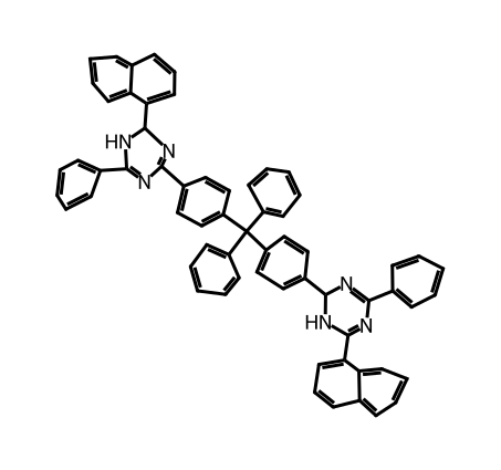 c1ccc(C2=NC(c3ccc(C(c4ccccc4)(c4ccccc4)c4ccc(C5=NC(c6cccc7ccccc67)NC(c6ccccc6)=N5)cc4)cc3)NC(c3cccc4ccccc34)=N2)cc1